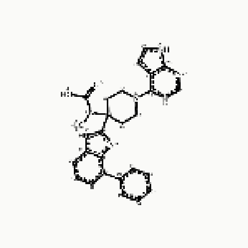 CN(C(=O)O)C1(c2nc3c(-c4ccccc4)cccc3[nH]2)CCN(c2ncnc3[nH]ccc23)CC1